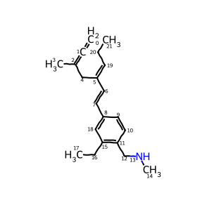 C=C=C(C)CC(/C=C/c1ccc(CNC)c(CC)c1)=C\CC